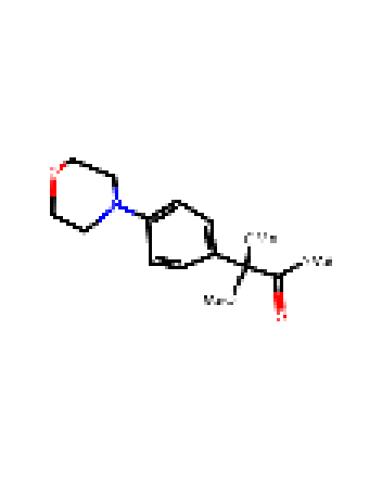 CNC(=O)C(OC)(OC)c1ccc(N2CCOCC2)cc1